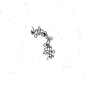 CCCc1nn(C)c2c(=O)[nH]c(-c3cc(S(=O)(=O)N4CCN(C(=O)N5CCN(S(=O)(=O)c6ccc(OCC)c(-c7nc8c(CCC)nn(C)c8c(=O)[nH]7)c6)CC5)CC4)ccc3OCC)nc12